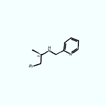 CC(C)C[C@@H](C)NCc1ccccn1